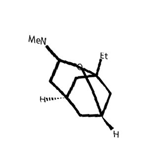 CCC12C[C@H]3C[C@@H](C1)CC(NC)(C3)O2